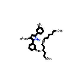 CCCCCC1=C(c2cccc(CCCC)c2)[N+](=[N-])C(c2cccc(CCCC)c2)=C1.CCCCCCCCCCCCCC[CH2][Ni][CH2]CCCCCCCCCCCCCC